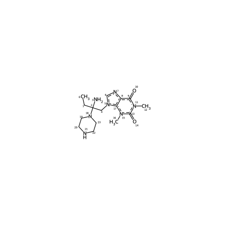 CCC(N)(Cn1cnc2c(=O)n(C)c(=O)n(C)c21)N1CCNCC1